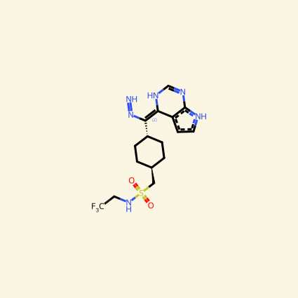 N=N/C(=C1\NC=Nc2[nH]ccc21)[C@H]1CC[C@H](CS(=O)(=O)NCC(F)(F)F)CC1